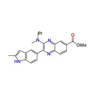 COC(=O)c1ccc2nc(-c3ccc4[nH]c(C)cc4c3)c(N(C)C(C)C)nc2c1